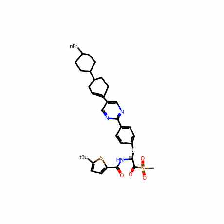 CCCC1CCC(C2CC=C(c3cnc(-c4ccc(C[C@H](NC(=O)c5ccc(C(C)(C)C)s5)C(=O)S(C)(=O)=O)cc4)nc3)CC2)CC1